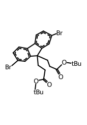 CC(C)(C)OC(=O)CCC1(CCC(=O)OC(C)(C)C)c2cc(Br)ccc2-c2ccc(Br)cc21